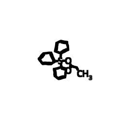 CCC(=O)OS(c1ccccc1)(c1ccccc1)c1ccccc1